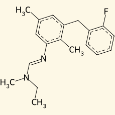 CCN(C)C=Nc1cc(C)cc(Cc2ccccc2F)c1C